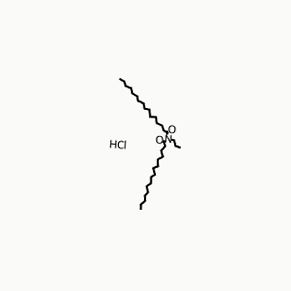 CCCCCCCCCCCCCCCC(=O)N(CCC)C(=O)CCCCCCCCCCCCCCC.Cl